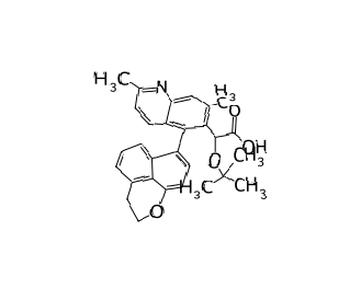 Cc1ccc2c(-c3ccc4c5c(cccc35)CCO4)c(C(OC(C)(C)C)C(=O)O)c(C)cc2n1